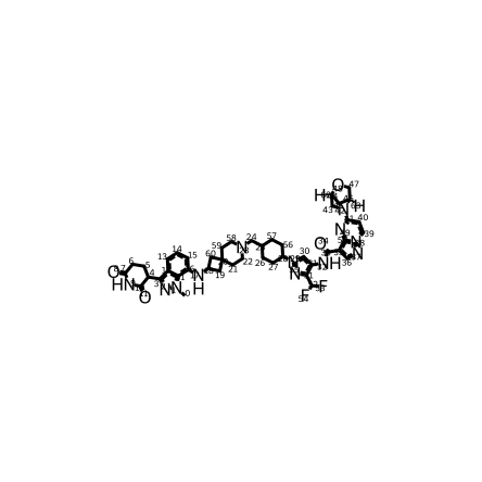 Cn1nc(C2CCC(=O)NC2=O)c2cccc(NC3CC4(CCN(CC5CCC(n6cc(NC(=O)c7cnn8ccc(N9C[C@H]%10C[C@@H]9CO%10)nc78)c(C(F)F)n6)CC5)CC4)C3)c21